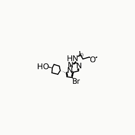 COCC[C@H](C)Nc1ncc2c(Br)cc([C@H]3CC[C@H](O)CC3)n2n1